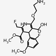 COC(=O)C1=C(CF)NC(COCCN)=C(C(=O)O)C1c1cc(OC)ccc1F